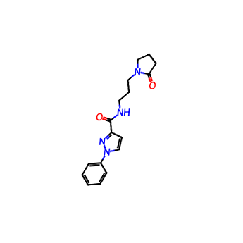 O=C(NCCCN1CCCC1=O)c1ccn(-c2ccccc2)n1